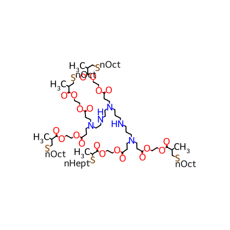 CCCCCCCCSCC(C)C(=O)OCCOC(=O)CCN(CCCNCCCN(CCC(=O)OCCOC(=O)C(C)CSCCCCCCCC)CCC(=O)OCCOC(=O)C(C)SCCCCCCC)CCNCCN(CCC(=O)OCCOC(=O)C(C)CSCCCCCCCC)CCC(=O)OCCOC(=O)C(C)CSCCCCCCCC